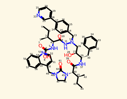 CC[C@H](C)[C@H](NC(=O)O)C(=O)NN(Cc1ccc(-c2cccnc2)cc1)C[C@H](O)[C@H](Cc1ccccc1)NC(=O)[C@H]([C@@H](C)CC)N1CCN(Cc2ccnc3ccccc23)C1=O